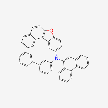 c1ccc(-c2cccc(N(c3ccc4oc5ccc6ccccc6c5c4c3)c3cc4ccccc4c4ccccc34)c2)cc1